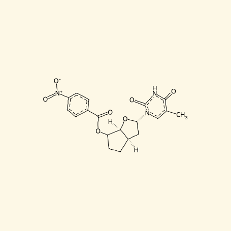 Cc1cn([C@@H]2C[C@H]3CCC(OC(=O)c4ccc([N+](=O)[O-])cc4)[C@H]3O2)c(=O)[nH]c1=O